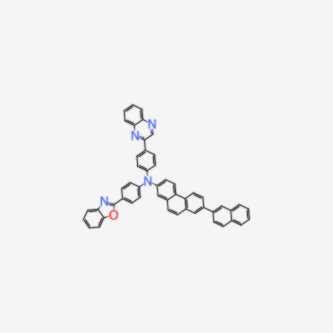 c1ccc2cc(-c3ccc4c(ccc5cc(N(c6ccc(-c7cnc8ccccc8n7)cc6)c6ccc(-c7nc8ccccc8o7)cc6)ccc54)c3)ccc2c1